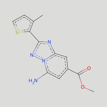 COC(=O)c1cc(N)n2nc(-c3sccc3C)nc2c1